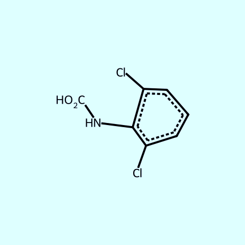 O=C(O)Nc1c(Cl)cccc1Cl